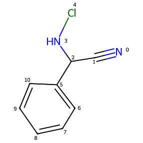 N#CC(NCl)c1ccccc1